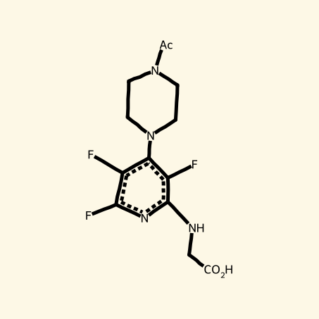 CC(=O)N1CCN(c2c(F)c(F)nc(NCC(=O)O)c2F)CC1